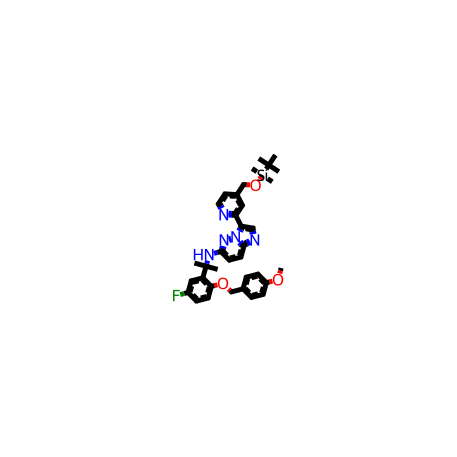 COc1ccc(COc2ccc(F)cc2C(C)(C)Nc2ccc3ncc(-c4cc(CO[Si](C)(C)C(C)(C)C)ccn4)n3n2)cc1